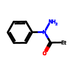 CCC(=O)N(N)c1ccccc1